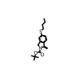 C=C1c2ccc(SCCCC)cc2CN1C(=O)OC(C)(C)C